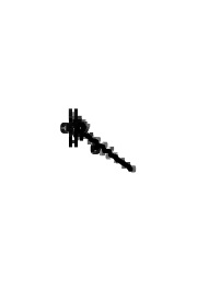 CCCCCCCCCCC(=O)CCCC[C@@H]1SC[C@@H]2NC(=O)N[C@@H]21